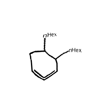 CCCCCCC1C=C=CCC1CCCCCC